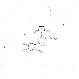 CC(SC(COC(=O)O)N1C(=O)CCC1=O)c1cc2c(cc1[N+](=O)[O-])OCO2